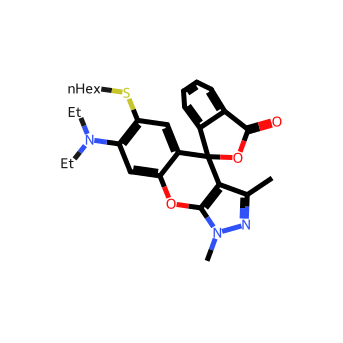 CCCCCCSc1cc2c(cc1N(CC)CC)Oc1c(c(C)nn1C)C21OC(=O)c2ccccc21